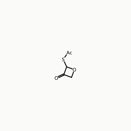 CC(=O)SC1OCC1=O